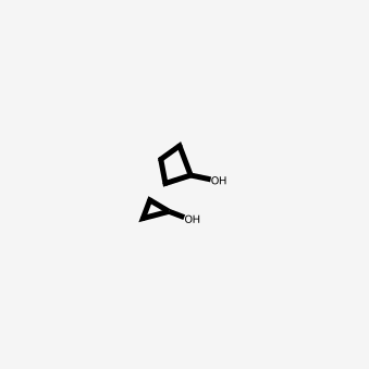 O[C]1CC1.O[C]1CCC1